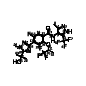 Cc1n[nH]c(C(F)(F)F)c1NC(=O)c1cc(F)c(-c2nc(C(C)(C)O)n(C)n2)cc1O[C@@H](C)C(F)(F)F